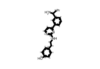 CC(C)C(N)c1cccc(-c2ccnc(NCCc3ccc(O)cc3)n2)c1